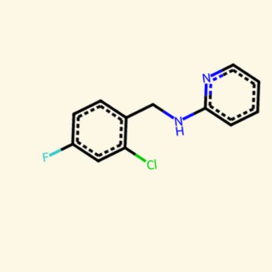 Fc1ccc(CNc2ccccn2)c(Cl)c1